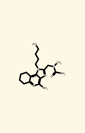 CN(Cc1nc2c(N)nc3c(c2n1CCCCO)CCCC3)C(N)=O